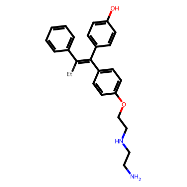 CCC(=C(c1ccc(O)cc1)c1ccc(OCCNCCN)cc1)c1ccccc1